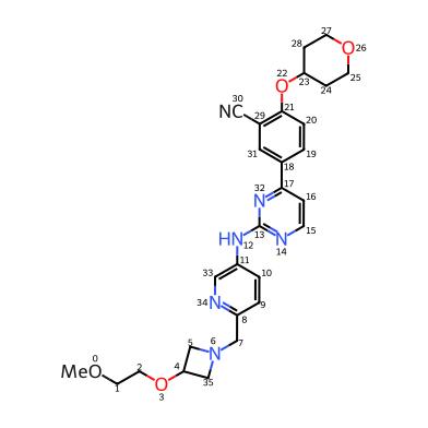 COCCOC1CN(Cc2ccc(Nc3nccc(-c4ccc(OC5CCOCC5)c(C#N)c4)n3)cn2)C1